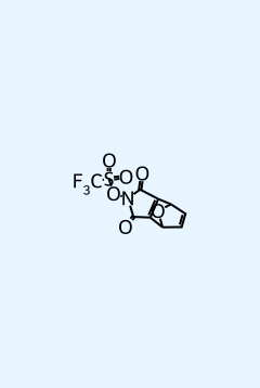 O=C1C2=C(C(=O)N1OS(=O)(=O)C(F)(F)F)C1C=CC2O1